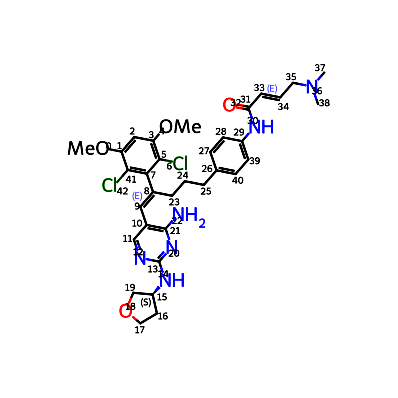 COc1cc(OC)c(Cl)c(/C(=C/c2cnc(N[C@H]3CCOC3)nc2N)CCCc2ccc(NC(=O)/C=C/CN(C)C)cc2)c1Cl